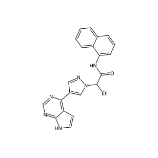 CCC(C(=O)Nc1cccc2ccccc12)n1cc(-c2ncnc3[nH]ccc23)cn1